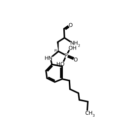 CCCCCCc1cccc(N[C@@H](CC(N)C=O)P(=O)(O)O)c1